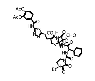 CCN1CCN(C(=O)NC(C(=O)N[C@]2(NC=O)C(=O)N3C(C(=O)O)=C(CSc4nnc(NC(=O)c5ccc(OC(C)=O)c(OC(C)=O)c5)s4)CS[C@@H]32)c2ccccc2)C(=O)C1=O